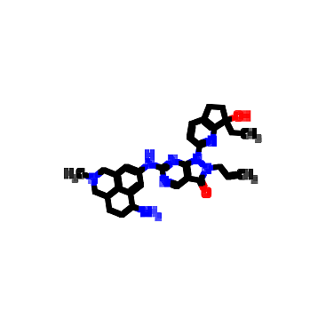 C=CCn1c(=O)c2cnc(Nc3cc4c5c(c3)C(N)CCC5CN(C)C4)nc2n1-c1ccc2c(n1)C(O)(CC)CC2